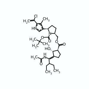 C=C(Cl)c1[nH]cc([C@H]2CC[C@@H](COC(=O)[C@H]3CC/C(=C(/NC(C)=O)C(CC)CC)[C@@H]3O)N2C(=O)OC(C)(C)C)c1C